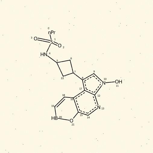 CCCS(=O)(=O)NC1CC(c2cn(O)c3ncc4c(c23)C=CBO4)C1